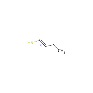 CC/C=[C]/S